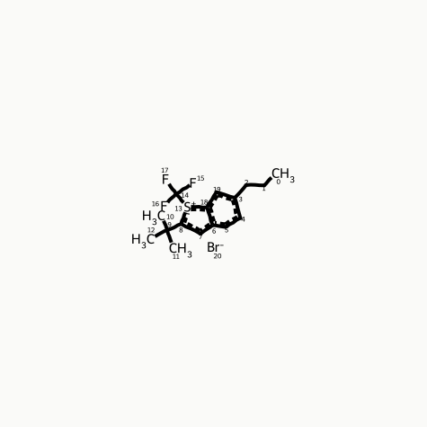 CCCc1ccc2cc(C(C)(C)C)[s+](C(F)(F)F)c2c1.[Br-]